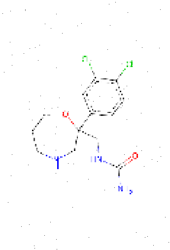 NC(=O)NCC1(c2ccc(Cl)c(Cl)c2)CNCCCO1